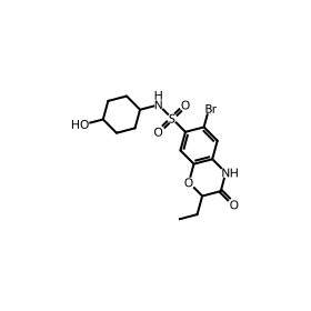 CCC1Oc2cc(S(=O)(=O)NC3CCC(O)CC3)c(Br)cc2NC1=O